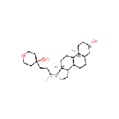 C[C@H](CCC1(O)CCOCC1)[C@H]1CCC2C3CCC4C[C@@H](O)CC[C@]4(C)C3CC[C@@]21C